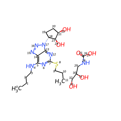 CCCCNc1nc(SCCC)nc2c1nnn2[C@@H]1CC[C@@H](O)[C@H]1O.O=C(O)NCC(O)CO